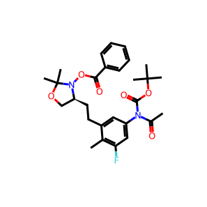 CC(=O)N(C(=O)OC(C)(C)C)c1cc(F)c(C)c(CC[C@H]2COC(C)(C)N2OC(=O)c2ccccc2)c1